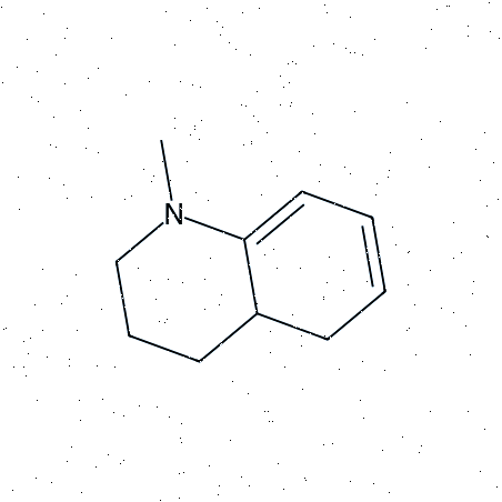 CN1CCCC2CC=CC=C21